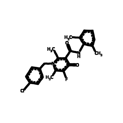 Cc1cccc(C)c1NC(=O)c1c(C)n(Cc2ccc(Cl)cc2)c(C)c(F)c1=O